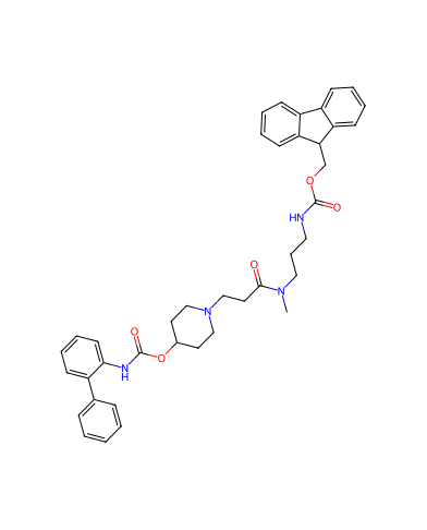 CN(CCCNC(=O)OCC1c2ccccc2-c2ccccc21)C(=O)CCN1CCC(OC(=O)Nc2ccccc2-c2ccccc2)CC1